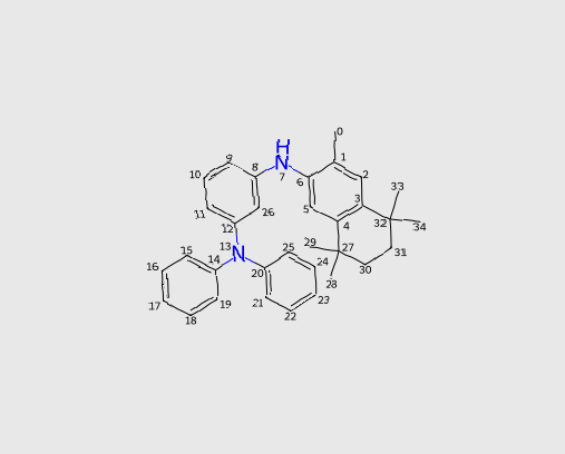 Cc1cc2c(cc1Nc1cccc(N(c3ccccc3)c3ccccc3)c1)C(C)(C)CCC2(C)C